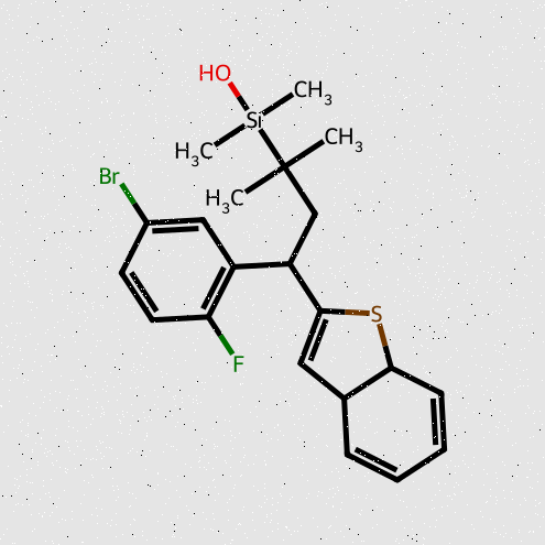 CC(C)(CC(C1=CC2C=CC=CC2S1)c1cc(Br)ccc1F)[Si](C)(C)O